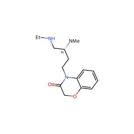 CCNC[C@@H](CCN1C(=O)COc2ccccc21)NC